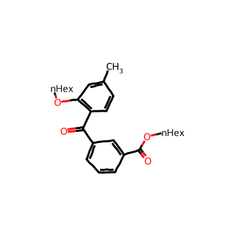 CCCCCCOC(=O)c1cccc(C(=O)c2ccc(C)cc2OCCCCCC)c1